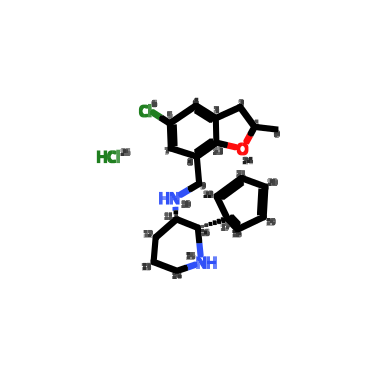 CC1Cc2cc(Cl)cc(CN[C@H]3CCCN[C@H]3c3ccccc3)c2O1.Cl